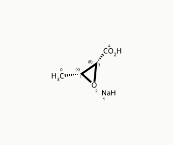 C[C@H]1O[C@H]1C(=O)O.[NaH]